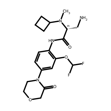 CN(C1CCC1)[C@H](CN)C(=O)Nc1ccc(N2CCOCC2=O)cc1OC(F)F